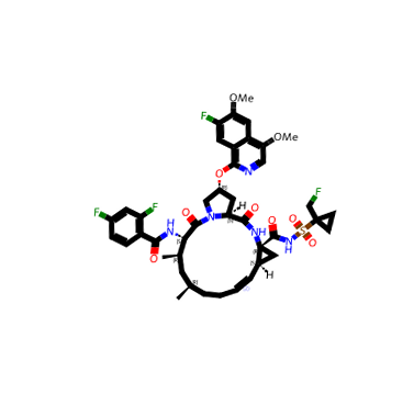 COc1cc2c(OC)cnc(O[C@@H]3C[C@H]4C(=O)N[C@]5(C(=O)NS(=O)(=O)C6(CF)CC6)C[C@H]5/C=C\CC[C@@H](C)C[C@@H](C)[C@H](NC(=O)c5ccc(F)cc5F)C(=O)N4C3)c2cc1F